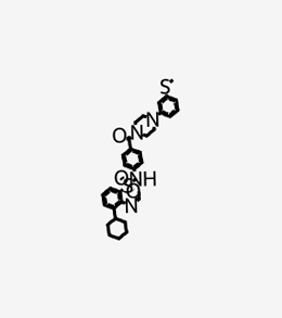 C/C=N\c1c(C2CCCCC2)cccc1S(=O)(=O)Nc1ccc(C(=O)N2CCN(c3cccc(SC)c3)CC2)cc1